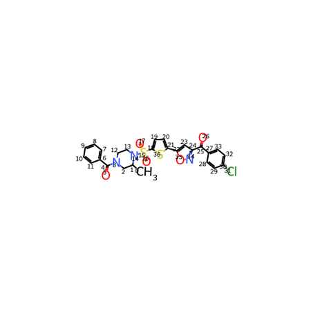 CC1CN(C(=O)c2ccccc2)CCN1S(=O)(=O)c1ccc(-c2cc(C(=O)c3ccc(Cl)cc3)no2)s1